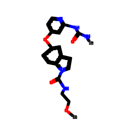 CCNC(=O)Nc1cc(Oc2ccc3c(ccn3C(=O)NCCOCC)c2)ccn1